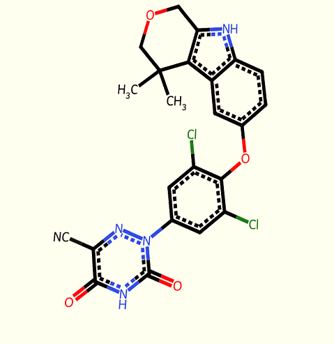 CC1(C)COCc2[nH]c3ccc(Oc4c(Cl)cc(-n5nc(C#N)c(=O)[nH]c5=O)cc4Cl)cc3c21